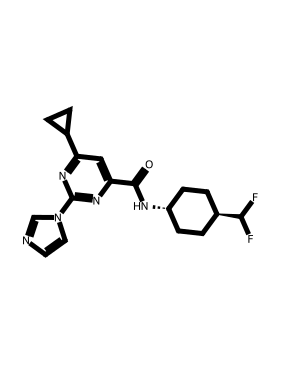 O=C(N[C@H]1CC[C@H](C(F)F)CC1)c1cc(C2CC2)nc(-n2ccnc2)n1